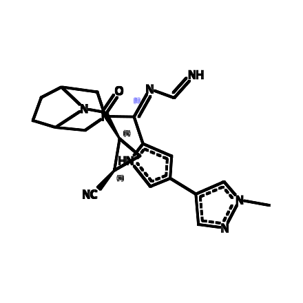 Cn1cc(-c2c[nH]c(/C(=N\C=N)N3CC4CCC(C3)N4C(=O)[C@H]3C[C@H]3C#N)c2)cn1